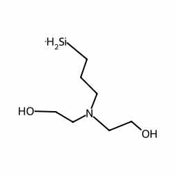 OCCN(CCO)CCC[SiH2]